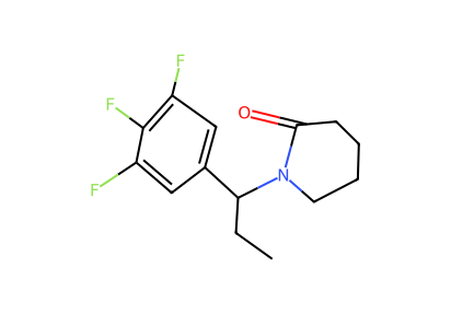 CCC(c1cc(F)c(F)c(F)c1)N1CCCCC1=O